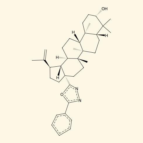 C=C(C)[C@@H]1CC[C@]2(c3nnc(-c4ccccc4)o3)CC[C@]3(C)[C@H](CC[C@@H]4[C@@]5(C)CC[C@H](O)C(C)(C)[C@@H]5CC[C@]43C)[C@@H]12